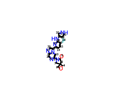 O=C1CC2(COC2)CN1c1cn2c(-c3cccc(N[C@H]4CNC[C@@H]4F)n3)cnc2cn1